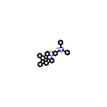 Cc1cc(C2=NC(c3ccccc3)=NC(c3ccccc3)P2)ccc1N1c2ccccc2C(c2ccccc2)(c2cc3ccccc3c3c2Cc2ccccc2-3)c2ccccc21